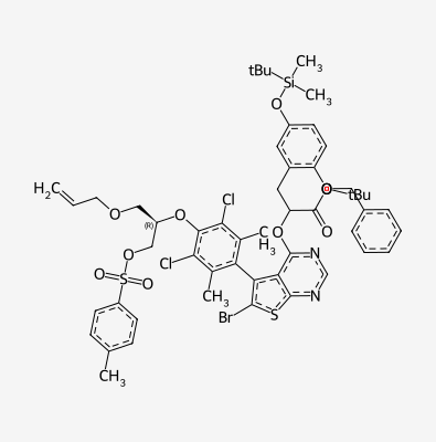 C=CCOC[C@H](COS(=O)(=O)c1ccc(C)cc1)Oc1c(Cl)c(C)c(-c2c(Br)sc3ncnc(OC(Cc4cc(O[Si](C)(C)C(C)(C)C)ccc4OCc4ccccc4)C(=O)OC(C)(C)C)c23)c(C)c1Cl